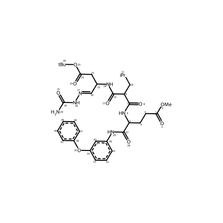 COC(=O)CCC(NC(=O)C(CC(C)C)C(=O)NC(/C=N/NC(N)=O)CC(=O)OC(C)(C)C)C(=O)Nc1cccc(Oc2ccccc2)c1